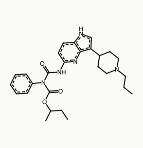 CCCN1CCC(c2c[nH]c3ccc(NC(=O)N(C(=O)OC(C)CC)c4ccccc4)nc23)CC1